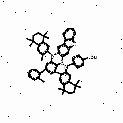 Cc1ccccc1-c1cc2c3c(c1)N(c1cc4c(cc1C)C(C)(C)CCC4(C)C)c1cc4c(cc1B3N(c1ccc(C(C)(C)C)cc1)c1cc3c(cc1-2)C(C)(C)CCC3(C)C)oc1ccccc14